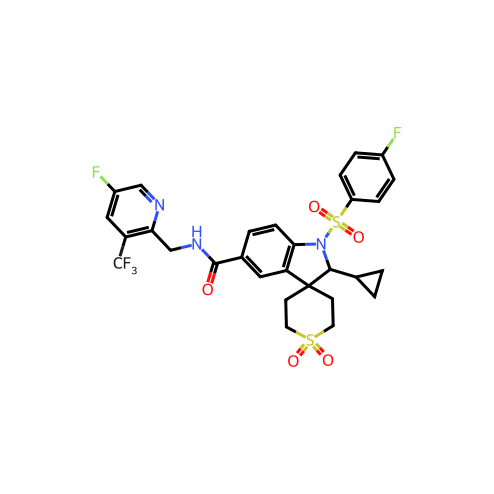 O=C(NCc1ncc(F)cc1C(F)(F)F)c1ccc2c(c1)C1(CCS(=O)(=O)CC1)C(C1CC1)N2S(=O)(=O)c1ccc(F)cc1